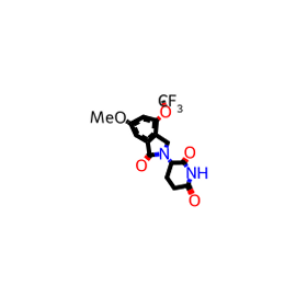 COc1cc(OC(F)(F)F)c2c(c1)C(=O)N(C1CCC(=O)NC1=O)C2